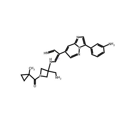 CC1(C(=O)N2CC(CN)(N/C=C(\C=N)c3cnn4c(-c5cccc(N)c5)cnc4c3)C2)CC1